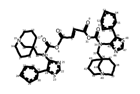 O=C(/C=C/C(=O)OC(=O)N(CC12CCCN(CCC1)C2)c1ncsc1-c1ccccc1)OC(=O)N(CC12CCCN(CCC1)C2)c1ncsc1-c1ccccc1